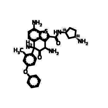 Cc1cc(Oc2ccccc2)ccc1C1(N)C(=O)C(N)c2c(C(=O)N[C@H]3CC[C@H](N)C3)sc3c(N)ccc1c23